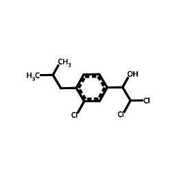 CC(C)Cc1ccc(C(O)C(Cl)Cl)cc1Cl